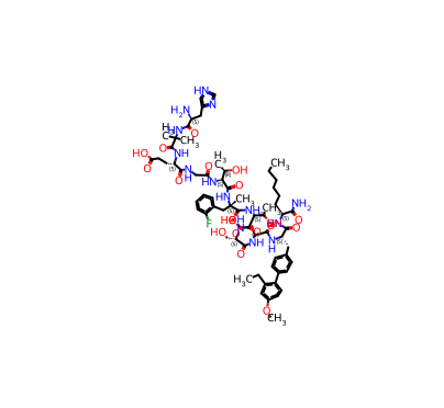 CCCCCC[C@H](NC(=O)[C@H](Cc1ccc(-c2ccc(OC)cc2CC)cc1)NC(=O)[C@H](CC(=O)O)NC(=O)[C@H](CO)NC(=O)[C@@H](NC(=O)[C@](C)(Cc1ccccc1F)NC(=O)[C@@H](NC(=O)CNC(=O)[C@H](CCC(=O)O)NC(=O)C(C)(C)NC(=O)[C@@H](N)Cc1c[nH]cn1)[C@@H](C)O)[C@@H](C)O)C(N)=O